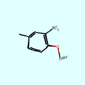 CCCCCCOc1ccc(C)cc1[N+](=O)[O-]